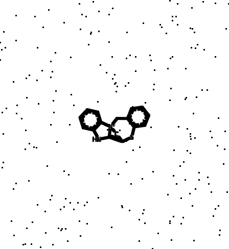 c1ccc2c(c1)C[N+]13CC(=C1Nc1ccccc13)S2